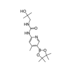 Cc1cc(NC(=O)NCC(C)(C)O)ncc1B1OC(C)(C)C(C)(C)O1